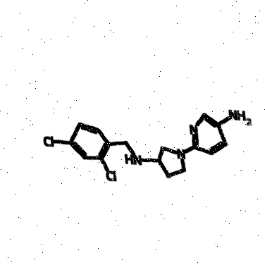 Nc1ccc(N2CCC(NCc3ccc(Cl)cc3Cl)C2)nc1